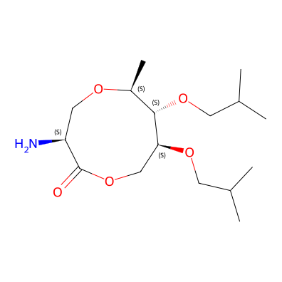 CC(C)CO[C@H]1[C@H](C)OC[C@H](N)C(=O)OC[C@@H]1OCC(C)C